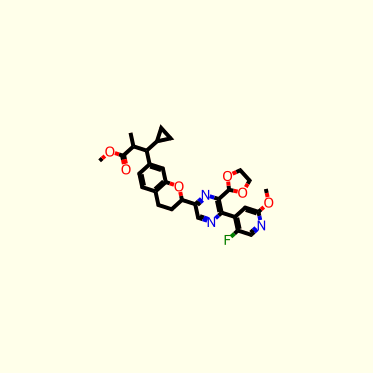 COC(=O)C(C)C(c1ccc2c(c1)OC(c1cnc(-c3cc(OC)ncc3F)c(C3OCCO3)n1)CC2)C1CC1